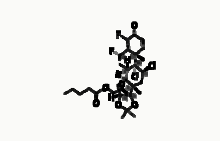 CCCCC(=O)OCC(=O)[C@@]12OC(C)(C)O[C@@H]1C[C@H]1[C@@H]3C[C@H](F)C4=C(F)C(=O)C=C[C@]4(C)[C@@]3(Cl)[C@@H](Cl)C[C@@]12C